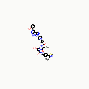 Cc1ncsc1-c1ccc(CNC(=O)[C@@H]2C[C@@H](O)CN2C(=O)[C@@H](NC(=O)[C@H]2C[C@H](N3CCC(n4cc(-c5cc(-c6ccccc6O)nnc5N)cn4)CC3)C2)C(C)(C)C)cc1